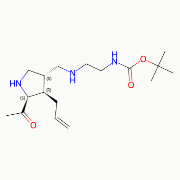 C=CC[C@@H]1[C@@H](CNCCNC(=O)OC(C)(C)C)CN[C@@H]1C(C)=O